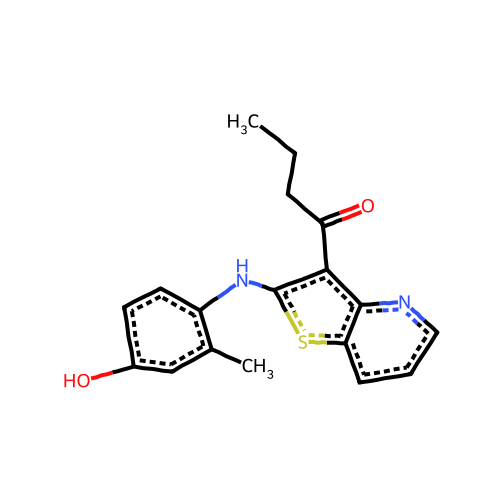 CCCC(=O)c1c(Nc2ccc(O)cc2C)sc2cccnc12